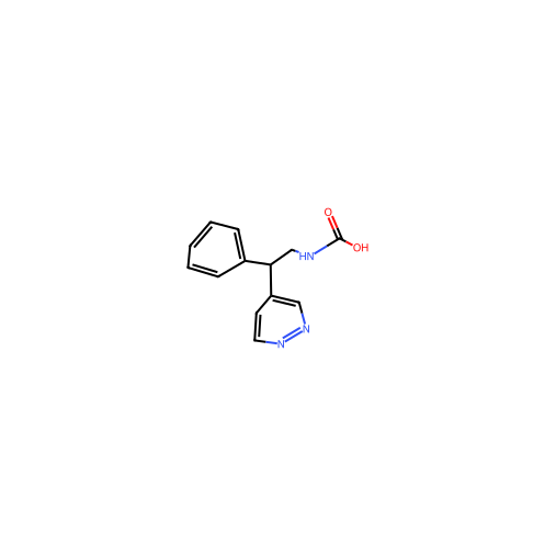 O=C(O)NCC(c1ccccc1)c1ccnnc1